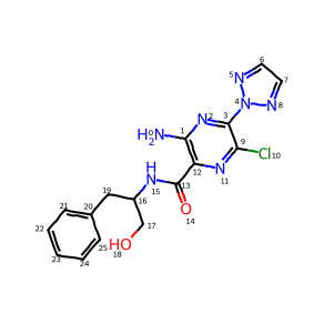 Nc1nc(-n2nccn2)c(Cl)nc1C(=O)NC(CO)Cc1ccccc1